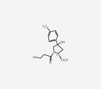 O=C(O)[C@@H]1CC(O)(c2ccc(C(F)(F)F)cc2)CN1C(=O)CCS